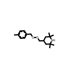 Cc1ccc(COOCC2CC(C)(C)NC(C)(C)C2)cc1